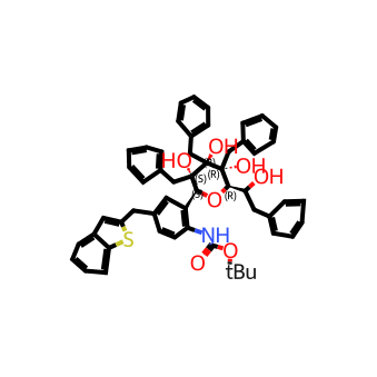 CC(C)(C)OC(=O)Nc1ccc(Cc2cc3ccccc3s2)cc1[C@@H]1O[C@H](C(O)Cc2ccccc2)[C@](O)(Cc2ccccc2)[C@@](O)(Cc2ccccc2)[C@]1(O)Cc1ccccc1